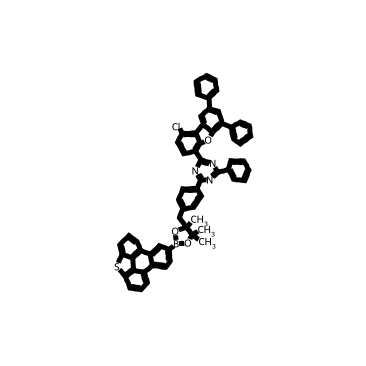 CC1(C)OB(c2ccc3c(c2)c2cccc4sc5cccc3c5c42)OC1(C)Cc1ccc(-c2nc(-c3ccccc3)nc(-c3ccc(Cl)c4c3oc3c(-c5ccccc5)cc(-c5ccccc5)cc34)n2)cc1